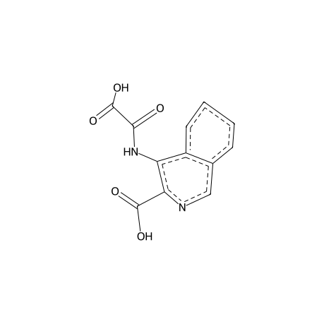 O=C(O)C(=O)Nc1c(C(=O)O)ncc2ccccc12